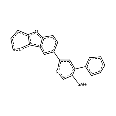 CSc1cnc(-c2ccc3oc4ccccc4c3c2)cc1-c1ccccc1